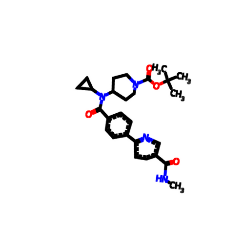 CNC(=O)c1ccc(-c2ccc(C(=O)N(C3CC3)C3CCN(C(=O)OC(C)(C)C)CC3)cc2)nc1